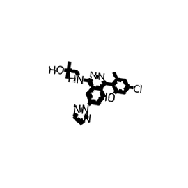 Cc1cc(Cl)cc(O)c1-c1nnc(NCC(C)(C)O)c2cc(-n3nccn3)ccc12